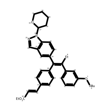 CCCCOc1cccc(/C(CC)=C(\c2ccc(/C=C/C(=O)OCC)cc2)c2ccc3c(cnn3C3CCCCO3)c2)c1